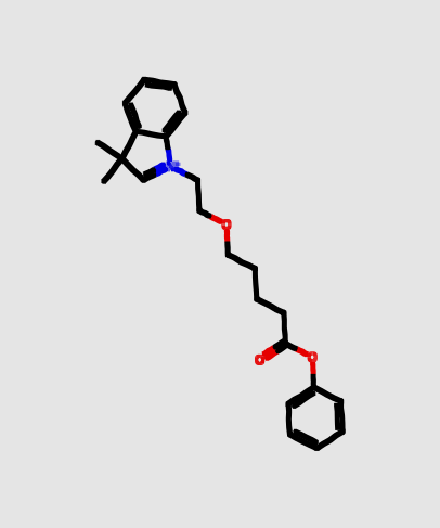 CC1(C)C=[N+](CCOCCCCC(=O)Oc2ccccc2)c2ccccc21